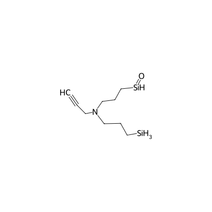 C#CCN(CCC[SiH3])CCC[SiH]=O